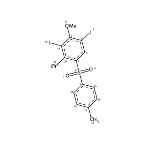 COc1c(I)cc(S(=O)(=O)c2ccc(C)cc2)c(C(C)C)c1I